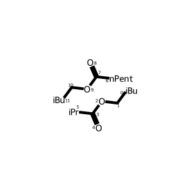 CCC(C)COC(=O)C(C)C.CCCCCC(=O)OCC(C)CC